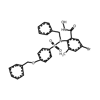 Cc1cc(Br)cc(C(=O)NO)c1N(Cc1ccccc1)S(=O)(=O)c1ccc(OCc2ccccc2)cc1